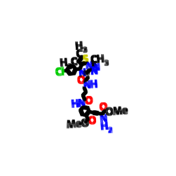 COC(=O)c1ccc(NC(=O)CCCNC(=O)C[C@@H]2N=C(c3ccc(Cl)cc3)c3c(sc(C)c3C)-n3c(C)nnc32)cc1C#CC(N)C(=O)OC